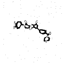 O=C(c1ccc(-c2cc(Cl)c(C[C@@H]3CCN(C4CCC(F)(F)CC4)C3=O)c(Cl)c2)cc1)N1CCSCC1